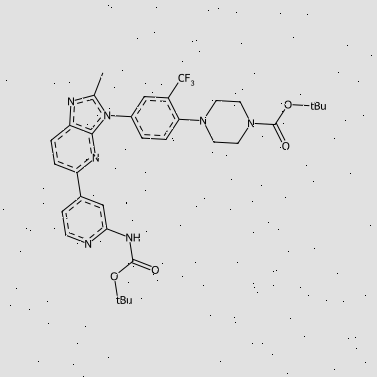 Cc1nc2ccc(-c3ccnc(NC(=O)OC(C)(C)C)c3)nc2n1-c1ccc(N2CCN(C(=O)OC(C)(C)C)CC2)c(C(F)(F)F)c1